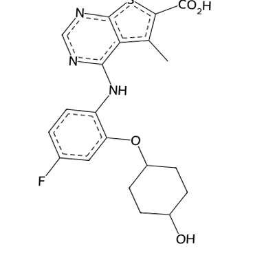 Cc1c(C(=O)O)sc2ncnc(Nc3ccc(F)cc3OC3CCC(O)CC3)c12